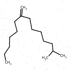 C=C(CCCCCC)CCCCCC(C)C